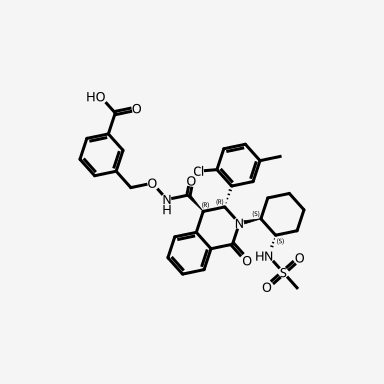 Cc1ccc(Cl)c([C@H]2[C@H](C(=O)NOCc3cccc(C(=O)O)c3)c3ccccc3C(=O)N2[C@H]2CCCC[C@@H]2NS(C)(=O)=O)c1